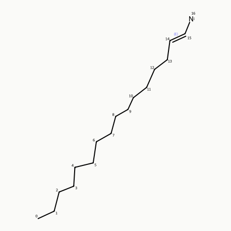 CCCCCCCCCCCCCC/C=C/[N]